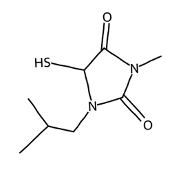 CC(C)CN1C(=O)N(C)C(=O)C1S